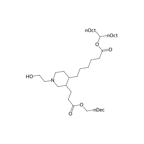 CCCCCCCCCCCOC(=O)CCC1CN(CCO)CCC1CCCCCC(=O)OC(CCCCCCCC)CCCCCCCC